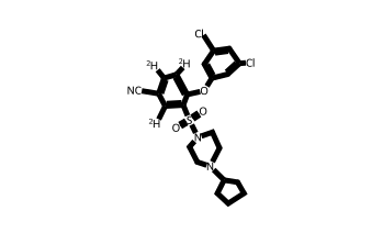 [2H]c1c([2H])c(Oc2cc(Cl)cc(Cl)c2)c(S(=O)(=O)N2CCN(C3CCCC3)CC2)c([2H])c1C#N